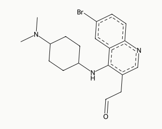 CN(C)C1CCC(Nc2c(CC=O)cnc3ccc(Br)cc23)CC1